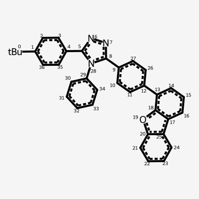 CC(C)(C)c1ccc(-c2nnc(-c3ccc(-c4cccc5c4oc4ccccc45)cc3)n2-c2ccccc2)cc1